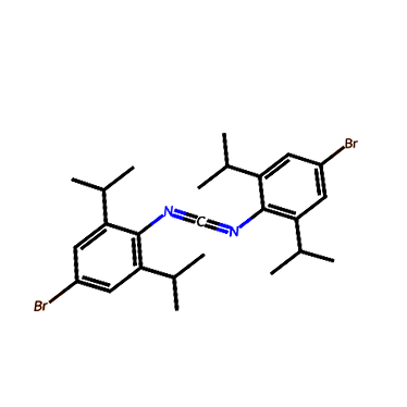 CC(C)c1cc(Br)cc(C(C)C)c1N=C=Nc1c(C(C)C)cc(Br)cc1C(C)C